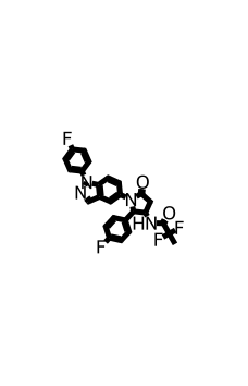 CC(F)(F)C(=O)NC1CC(=O)N(c2ccc3c(cnn3-c3ccc(F)cc3)c2)C1c1ccc(F)cc1